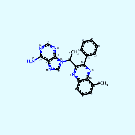 Cc1cccc2nc(C(C)n3cnc4c(N)ncnc43)c(-c3ccccc3)nc12